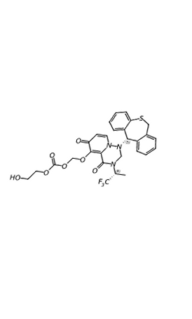 C[C@@H](N1CN([C@H]2c3ccccc3CSc3ccccc32)n2ccc(=O)c(OCOC(=O)OCCO)c2C1=O)C(F)(F)F